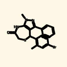 Cc1cc(Br)ccc1C1SCC(=O)Nc2c1c(-c1ccccn1)nn2C